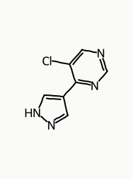 Clc1cncnc1-c1cn[nH]c1